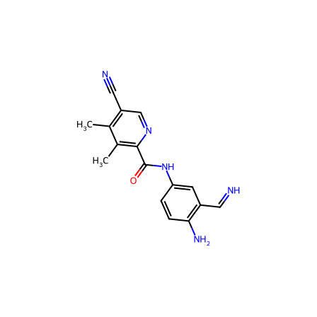 Cc1c(C#N)cnc(C(=O)Nc2ccc(N)c(C=N)c2)c1C